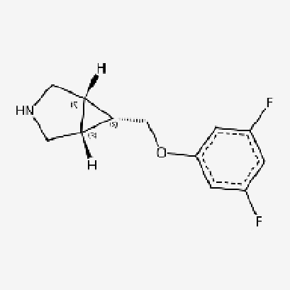 Fc1cc(F)cc(OC[C@@H]2[C@@H]3CNC[C@@H]32)c1